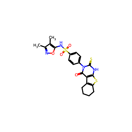 Cc1noc(NS(=O)(=O)c2ccc(-n3c(=S)[nH]c4sc5c(c4c3=O)CCCC5)cc2)c1C